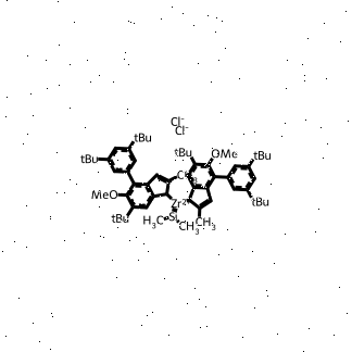 COc1c(C(C)(C)C)cc2c(c1-c1cc(C(C)(C)C)cc(C(C)(C)C)c1)C=C(C)[CH]2[Zr+2]([CH]1C(C)=Cc2c1cc(C(C)(C)C)c(OC)c2-c1cc(C(C)(C)C)cc(C(C)(C)C)c1)=[Si](C)C.[Cl-].[Cl-]